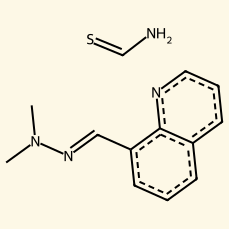 CN(C)N=Cc1cccc2cccnc12.NC=S